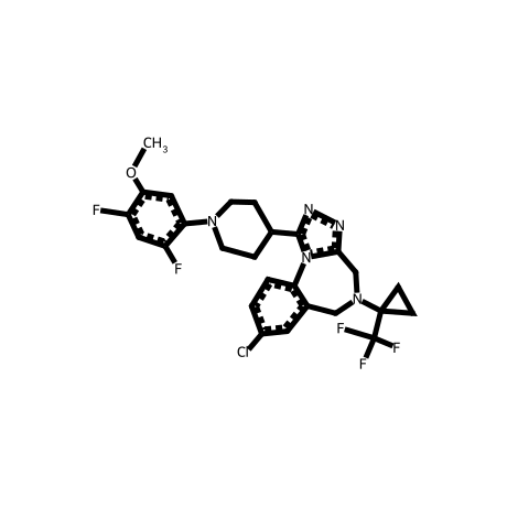 COc1cc(N2CCC(c3nnc4n3-c3ccc(Cl)cc3CN(C3(C(F)(F)F)CC3)C4)CC2)c(F)cc1F